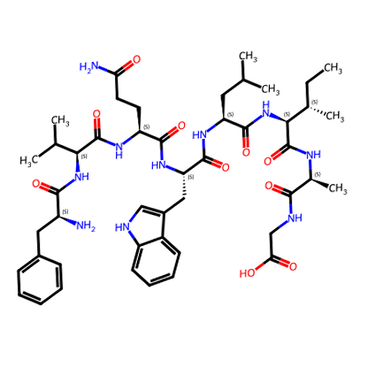 CC[C@H](C)[C@H](NC(=O)[C@H](CC(C)C)NC(=O)[C@H](Cc1c[nH]c2ccccc12)NC(=O)[C@H](CCC(N)=O)NC(=O)[C@@H](NC(=O)[C@@H](N)Cc1ccccc1)C(C)C)C(=O)N[C@@H](C)C(=O)NCC(=O)O